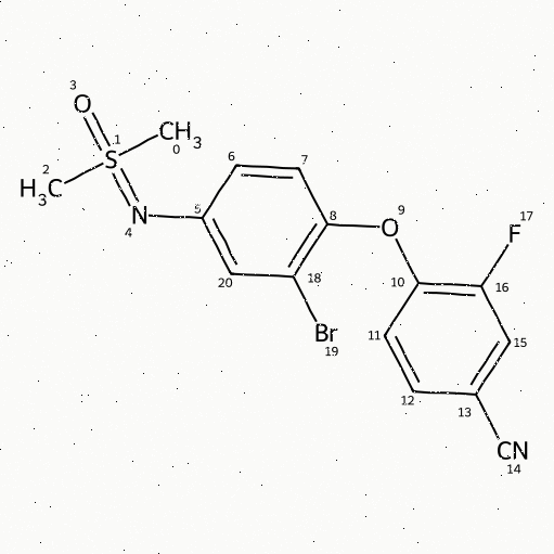 CS(C)(=O)=Nc1ccc(Oc2ccc(C#N)cc2F)c(Br)c1